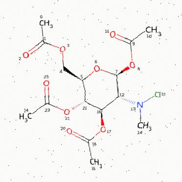 CC(=O)OC[C@H]1O[C@@H](OC(C)=O)[C@H](N(C)Cl)[C@@H](OC(C)=O)[C@@H]1OC(C)=O